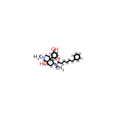 CN1CCC2(c3cccc(O)c3)CC(N(C)C(=O)CCCCCc3ccccc3)CCC2(O)C1